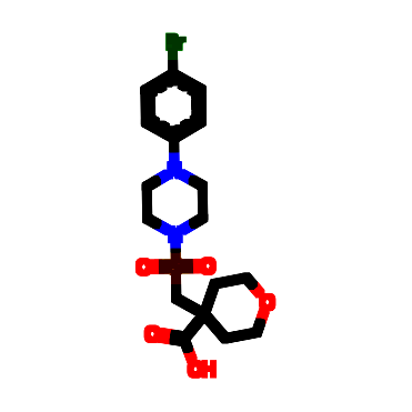 O=C(O)C1(CS(=O)(=O)N2CCN(c3ccc(Br)cc3)CC2)CCOCC1